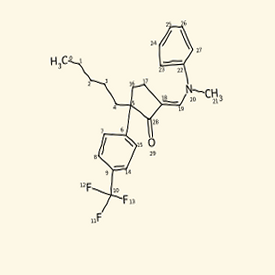 CCCCCC1(c2ccc(C(F)(F)F)cc2)CCC(=CN(C)c2ccccc2)C1=O